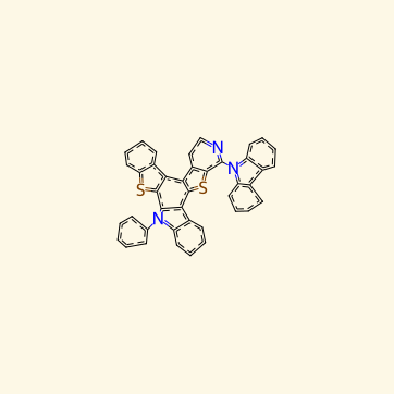 c1ccc(-n2c3ccccc3c3c4sc5c(-n6c7ccccc7c7ccccc76)nccc5c4c4c5ccccc5sc4c32)cc1